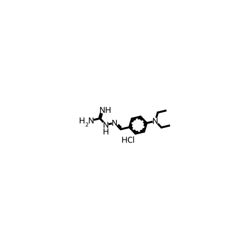 CCN(CC)c1ccc(C=NNC(=N)N)cc1.Cl